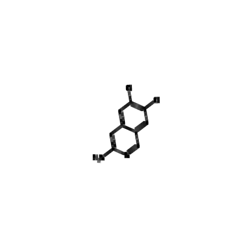 Nc1cc2cc(Cl)c(Cl)cc2cn1